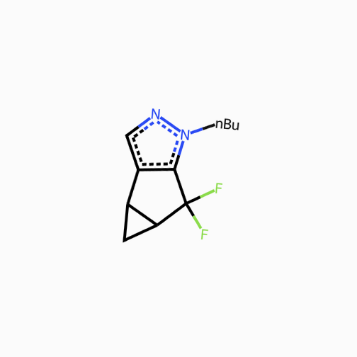 CCCCn1ncc2c1C(F)(F)C1CC21